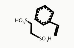 C=Cc1ccccc1.O=S(=O)(O)CCS(=O)(=O)O